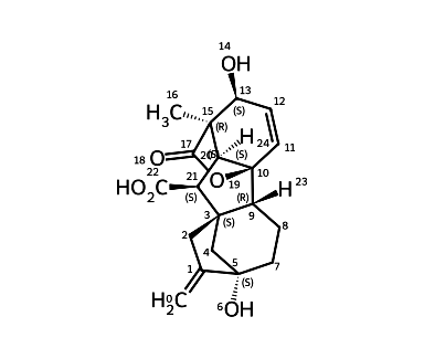 C=C1C[C@]23C[C@@]1(O)CC[C@H]2[C@]12C=C[C@H](O)[C@](C)(C(=O)O1)[C@@H]2[C@@H]3C(=O)O